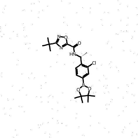 C[C@@H](NC(=O)c1nc(C(C)(C)C)no1)c1ccc(B2OC(C)(C)C(C)(C)O2)cc1Cl